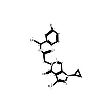 Cc1nn(C2CC2)c2cnn(CC(=O)NC(C)c3cccc(F)c3)c(=O)c12